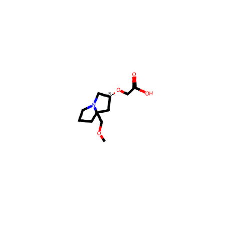 COCC12CCCN1C[C@H](OCC(=O)O)C2